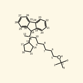 CC(C)(C)OCCCCCCS(C)(C1CCCC1)C1c2ccccc2-c2ccccc21